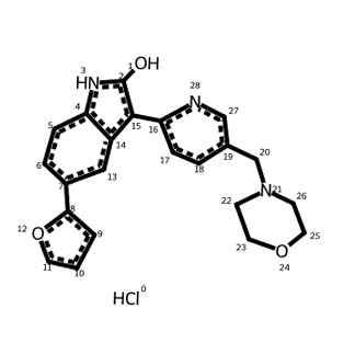 Cl.Oc1[nH]c2ccc(-c3ccco3)cc2c1-c1ccc(CN2CCOCC2)cn1